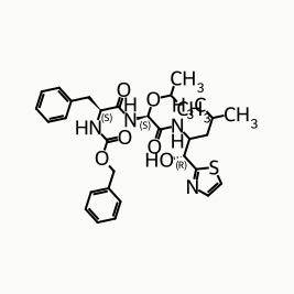 CC(C)CC(NC(=O)[C@@H](NC(=O)[C@H](Cc1ccccc1)NC(=O)OCc1ccccc1)OC(C)C)[C@@H](O)c1nccs1